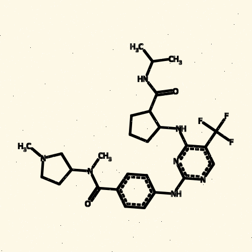 CC(C)NC(=O)C1CCCC1Nc1nc(Nc2ccc(C(=O)N(C)C3CCN(C)C3)cc2)ncc1C(F)(F)F